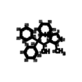 Cc1nc[nH]c1C(O)C(c1ccccc1)(c1ccccc1)c1ccccc1